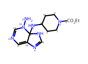 CCOC(=O)N1CCC(NC23NC=NC2=CN=CN3N)CC1